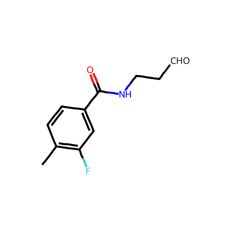 Cc1ccc(C(=O)NCCC=O)cc1F